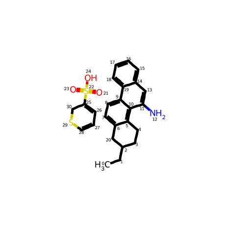 CCC1CCc2c(ccc3c2c(N)cc2ccccc23)C1.O=S(=O)(O)C1=CC=CSC1